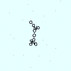 c1ccc(-c2ccc(-n3c4ccccc4c4cc(-c5ccc(-c6ccc7c(c6)Sc6ccccc6N7c6ccccc6)cc5)ccc43)cc2)cc1